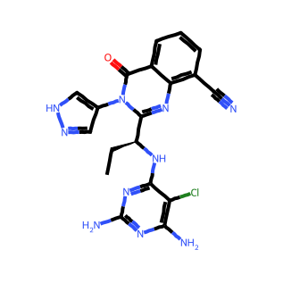 CC[C@H](Nc1nc(N)nc(N)c1Cl)c1nc2c(C#N)cccc2c(=O)n1-c1cn[nH]c1